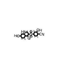 N#Cc1ccc(S(=O)(=O)c2c[nH]c3cc(O)ccc3c2=O)cc1O